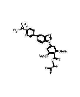 COc1cc(-n2cnc3cc(-c4ccc(N(C)C)nc4)ccc32)cc(OC)c1C(=O)NC(F)C(F)F